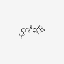 C=C/C(=C\C(F)=C(/C)c1cnco1)NC(=O)Cc1cccc(OC(F)F)c1